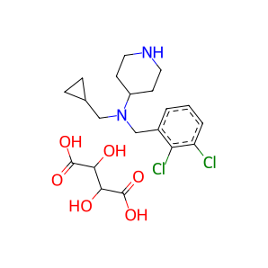 Clc1cccc(CN(CC2CC2)C2CCNCC2)c1Cl.O=C(O)C(O)C(O)C(=O)O